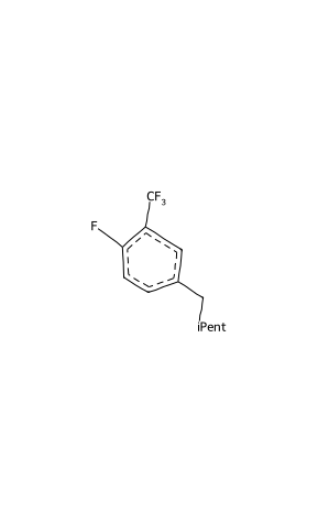 CCCC(C)Cc1ccc(F)c(C(F)(F)F)c1